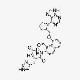 O=Cc1c(NC(=O)[C@H](Cc2c[nH]cn2)NC(=O)O)ccc2cccc(OC[C@H]3CCCN3c3ncnc4[nH]cnc34)c12